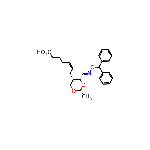 C[C@@H]1OC[C@H](C/C=C\CCCC(=O)O)[C@H](/C=N/OC(c2ccccc2)c2ccccc2)O1